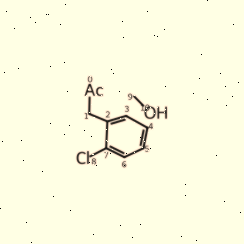 CC(=O)Cc1ccccc1Cl.CO